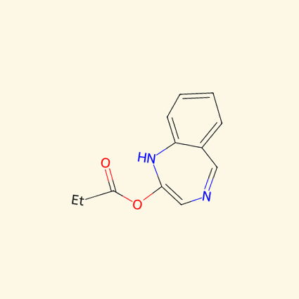 CCC(=O)OC1=CN=Cc2ccccc2N1